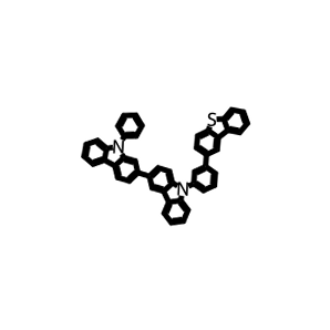 c1ccc(-n2c3ccccc3c3ccc(-c4ccc5c(c4)c4ccccc4n5-c4cccc(-c5ccc6sc7ccccc7c6c5)c4)cc32)cc1